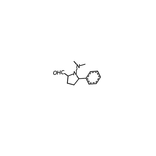 CN(C)N1C(C=O)CCC1c1ccccc1